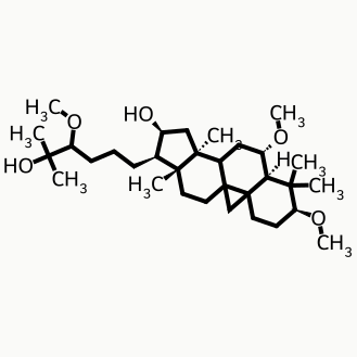 COC(CCC[C@H]1[C@@H](O)C[C@@]2(C)C3C[C@H](OC)[C@H]4C(C)(C)[C@@H](OC)CCC45CC35CC[C@]12C)C(C)(C)O